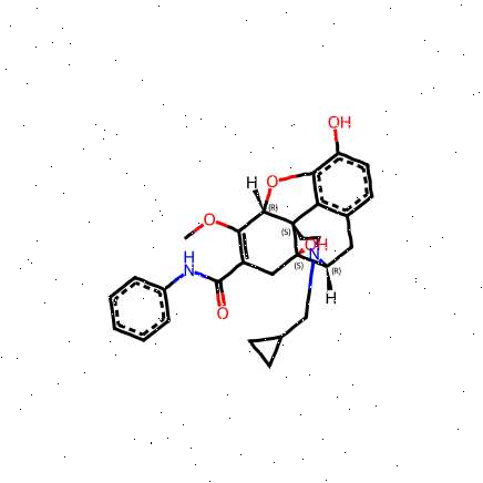 COC1=C(C(=O)Nc2ccccc2)C[C@@]2(O)[C@H]3Cc4ccc(O)c5c4[C@@]2(CCN3CC2CC2)[C@H]1O5